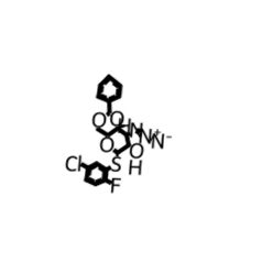 [N-]=[N+]=NC1[C@H]2OC(c3ccccc3)OCC2O[C@H](Sc2cc(Cl)ccc2F)[C@@H]1O